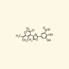 C=C(Cl)/C(=C(/C)C(Cl)=C(C)C)c1noc(-c2cc(O)c(O)c([N+](=O)[O-])c2)n1